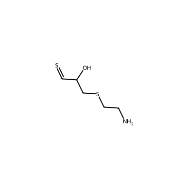 NCCSCC(O)[C]=S